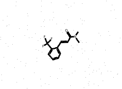 CN(C)C(=O)C=Cc1ccccc1C(F)(F)F